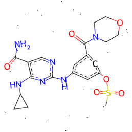 CS(=O)(=O)Oc1cc(Nc2ncc(C(N)=O)c(NC3CC3)n2)cc(C(=O)N2CCOCC2)c1